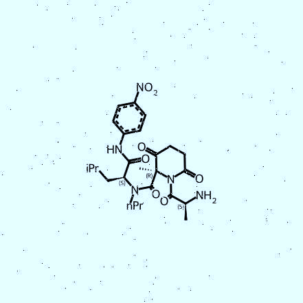 CCCN(C(=O)[C@@]1(C)C(=O)CCC(=O)N1C(=O)[C@H](C)N)[C@@H](CC(C)C)C(=O)Nc1ccc([N+](=O)[O-])cc1